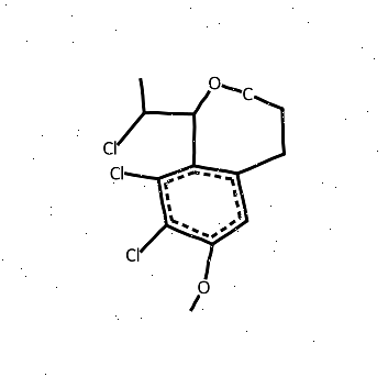 COc1cc2c(c(Cl)c1Cl)C(C(C)Cl)OCCC2